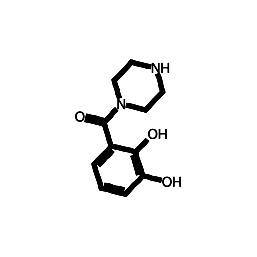 O=C(c1cccc(O)c1O)N1CCNCC1